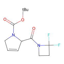 CC(C)(C)OC(=O)N1CC=C[C]1C(=O)N1CCC1(F)F